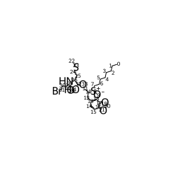 CCCCCCCC[S+]([O-])C(C)Cc1ccc2c(c1)OCO2.CSCCC(NC(=O)CBr)C(=O)O